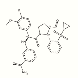 COc1cc([C@H](Nc2cccc(C(N)=O)c2)C(=O)N2CC[C@H](C=O)[C@@H]2c2ccccc2S(=O)(=O)C2CC2)ccc1F